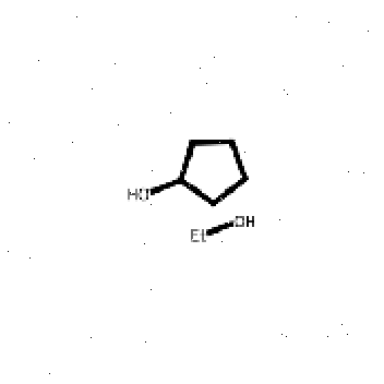 CCO.OC1CCCC1